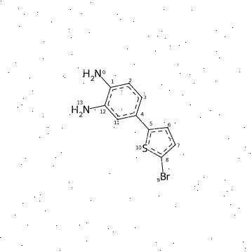 Nc1ccc(-c2ccc(Br)s2)cc1N